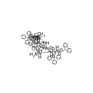 CC(C)(C)OC(=O)C[C@H](NC(=O)CNC(=O)[C@H](CCCCNC(=N)N)NC(=O)[C@H](CSC(c1ccccc1)(c1ccccc1)c1ccccc1)NC(=O)OCC1c2ccccc2-c2ccccc21)C(=O)N[C@@H](Cc1c[nH]c2ccccc12)C(=O)N1CCC[C@H]1C(=O)N[C@@H](CSC(c1ccccc1)(c1ccccc1)c1ccccc1)C(=O)O